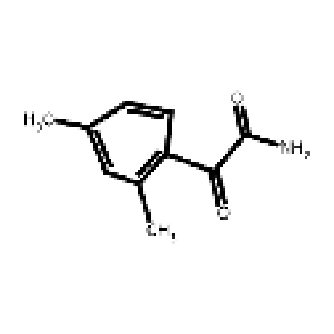 Cc1ccc(C(=O)C(N)=O)c(C)c1